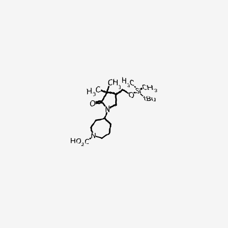 CC1(C)C(=O)N(C2CCCN(C(=O)O)CC2)CC1CO[Si](C)(C)C(C)(C)C